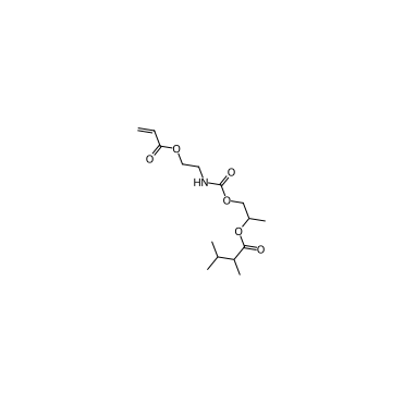 C=CC(=O)OCCNC(=O)OCC(C)OC(=O)C(C)C(C)C